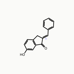 O=C1/C(=C/c2ccccc2)Cc2ccc(O)cc21